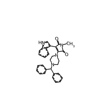 CN1C(=O)C(c2c[nH]c3ccccc23)=C(N2CCN(C(c3ccccc3)c3ccccc3)CC2)C1=O